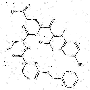 Cc1c(C(=O)[C@H](CCC(N)=O)NC(=O)[C@H](CC(C)C)NC(=O)[C@H](CC(C)C)NC(=O)OCc2ccccc2)c(=O)oc2cc(N)ccc12